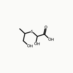 CC(CO)SC(O)C(=O)O